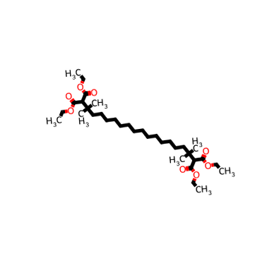 CCOC(=O)C(C(=O)OCC)C(C)(C)CCCCCCCCCCCCCCC(C)(C)C(C(=O)OCC)C(=O)OCC